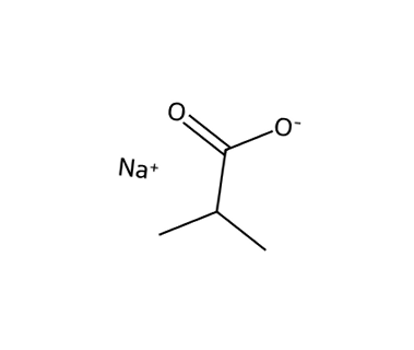 CC(C)C(=O)[O-].[Na+]